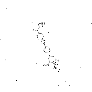 COc1cc(-c2ccc(N3CC4(CCN(C(=O)C5CNC5)CC4)C3)nc2)cn2ncc(C#N)c12